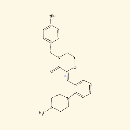 CN1CCN(c2ccccc2/C=C2\OCCN(Cc3ccc(C(C)(C)C)cc3)C2=O)CC1